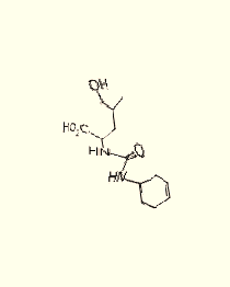 CC(CO)CC(NC(=O)NC1CC=CCC1)C(=O)O